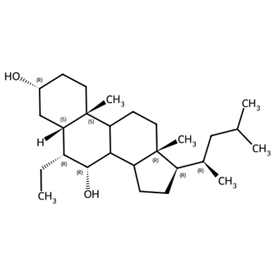 CC[C@H]1[C@@H](O)C2C3CC[C@H]([C@H](C)CC(C)C)[C@@]3(C)CCC2[C@@]2(C)CC[C@@H](O)C[C@@H]12